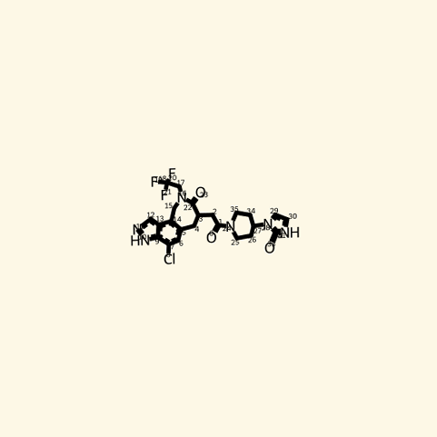 O=C(CC1Cc2cc(Cl)c3[nH]ncc3c2CN(CC(F)(F)F)C1=O)N1CCC(n2cc[nH]c2=O)CC1